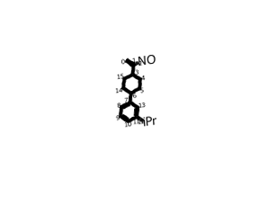 C=C(N=O)C1CCC(c2cccc(C(C)C)c2)CC1